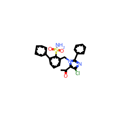 CC(=O)c1c(Cl)nc(-c2ccccc2)n1Cc1cccc(-c2ccccc2)c1S(N)(=O)=O